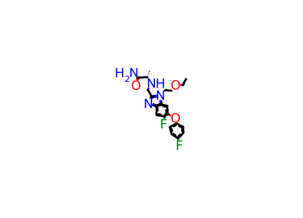 CCOCCn1c(CN[C@@H](C)C(N)=O)nc2cc(F)c(Oc3ccc(F)cc3)cc21